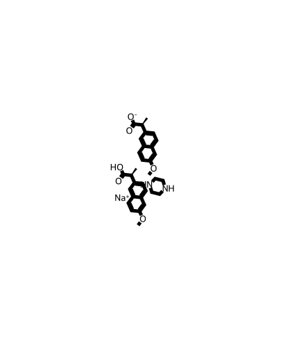 C1CNCCN1.COc1ccc2cc([C@H](C)C(=O)O)ccc2c1.COc1ccc2cc([C@H](C)C(=O)[O-])ccc2c1.[Na+]